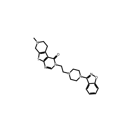 CN1CCc2c(sc3ncn(CCN4CCN(c5noc6ccccc56)CC4)c(=O)c23)C1